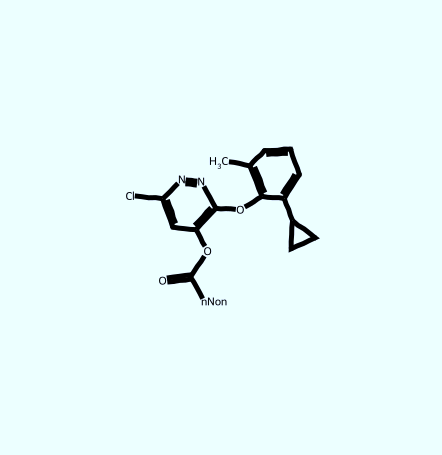 CCCCCCCCCC(=O)Oc1cc(Cl)nnc1Oc1c(C)cccc1C1CC1